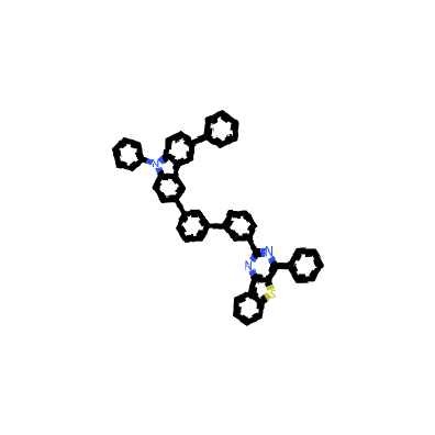 c1ccc(-c2ccc3c(c2)c2cc(-c4cccc(-c5cccc(-c6nc(-c7ccccc7)c7sc8ccccc8c7n6)c5)c4)ccc2n3-c2ccccc2)cc1